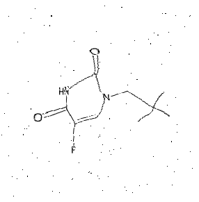 CC(C)(C)Cn1cc(F)c(=O)[nH]c1=O